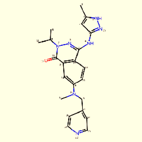 Cc1cc(Nc2nn(C(C)C)c(=O)c3cc(N(C)Cc4ccncc4)ccc23)n[nH]1